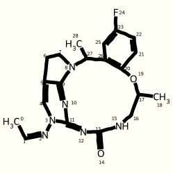 C/C=N\N1C=C2CCN3C2=N/C1=N\C(=O)NCC(C)Oc1ccc(F)cc1C3C